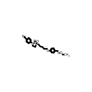 CCO/N=C/c1ccc(OCCCCCN2CCN(c3ccc(C#N)cc3)S2(=O)=O)cc1